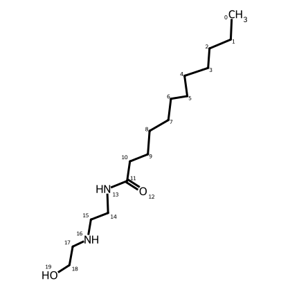 CCCCCCCCCCCC(=O)NCCNCCO